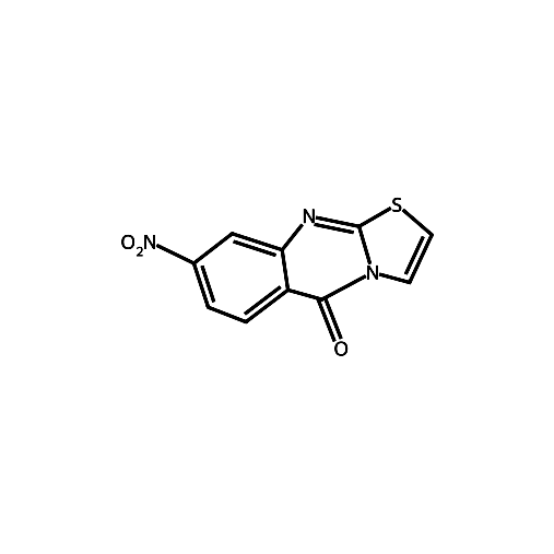 O=c1c2ccc([N+](=O)[O-])cc2nc2sccn12